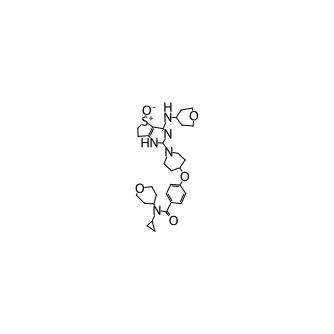 O=C(c1ccc(OC2CCN(C3N=C(NC4CCOCC4)C4=C(CC[S+]4[O-])N3)CC2)cc1)N(C1CCOCC1)C1CC1